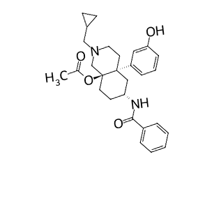 CC(=O)O[C@]12CC[C@@H](NC(=O)c3ccccc3)C[C@]1(c1cccc(O)c1)CCN(CC1CC1)C2